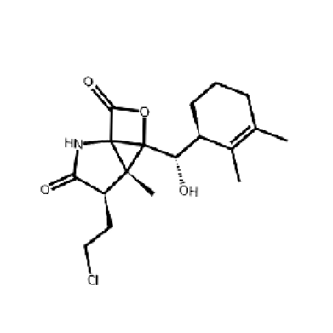 CC1=C(C)[C@@H]([C@H](O)C23OC(=O)C24NC(=O)[C@H](CCCl)[C@]43C)CCC1